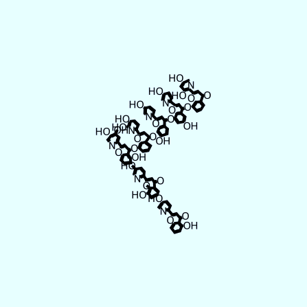 O=c1cc(-c2cc(O)c(O)cn2)oc2cccc(O)c12.O=c1cc(-c2ccc(O)c(O)n2)oc2ccccc12.O=c1cc(-c2ccc(O)cn2)oc2c(O)cccc12.O=c1cc(-c2ccc(O)cn2)oc2cc(O)ccc12.O=c1cc(-c2ccc(O)cn2)oc2ccc(O)cc12.O=c1cc(-c2ccc(O)cn2)oc2cccc(O)c12.O=c1cc(-c2ncc(O)cc2O)oc2ccccc12